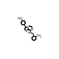 Cc1ccccc1CNc1nccn2c(-c3ccc(O)cc3)cnc12